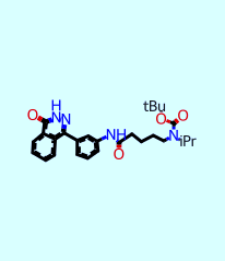 CC(C)N(CCCCC(=O)Nc1cccc(-c2n[nH]c(=O)c3ccccc23)c1)C(=O)OC(C)(C)C